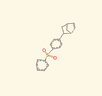 O=S(=O)(c1ccccc1)c1ccc(C2CC3C=CC2C3)cc1